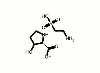 NCCS(=O)(=O)O.O=C(O)[C@H]1NCCC1O